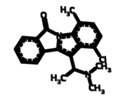 Cc1ccc(Cl)c2c(C(C)N(C)C)c3n(c12)C(=O)c1ccccc1-3